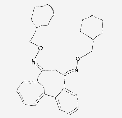 c1ccc2c(c1)C(=NOCC1CCCCC1)CC(=NOCC1CCCCC1)c1ccccc1-2